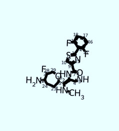 CN/C(=C(\C=N)NC(=O)c1csc(-c2c(F)cccc2F)n1)[C@@H]1CC[C@@H](N)[C@H](F)CO1